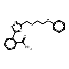 NC(=O)c1ccccc1-c1nnc(CSCCOc2ccccc2)o1